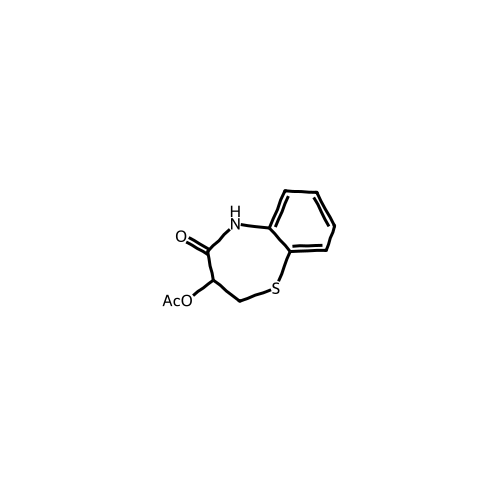 CC(=O)OC1CSc2ccccc2NC1=O